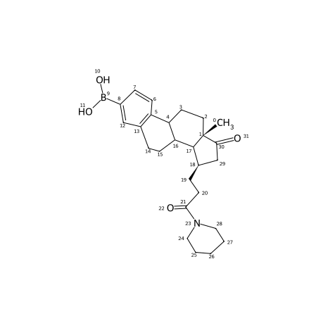 C[C@]12CCC3c4ccc(B(O)O)cc4CCC3C1[C@H](CCC(=O)N1CCCCC1)CC2=O